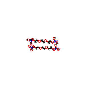 O=[N+]([O-])OCCOCCOCCO[N+](=O)[O-].O=[N+]([O-])OCCOCCOCCO[N+](=O)[O-]